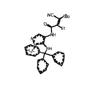 [CH2]C/C(C(=O)Nc1cnn(C)c1NC(c1ccccc1)(c1ccccc1)c1ccccc1)=C(/C#N)C(C)(C)C